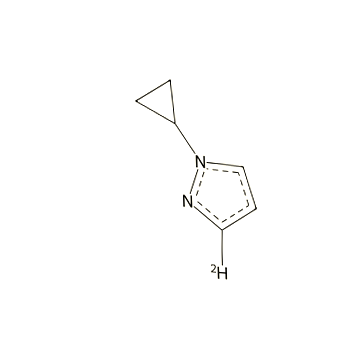 [2H]c1ccn(C2CC2)n1